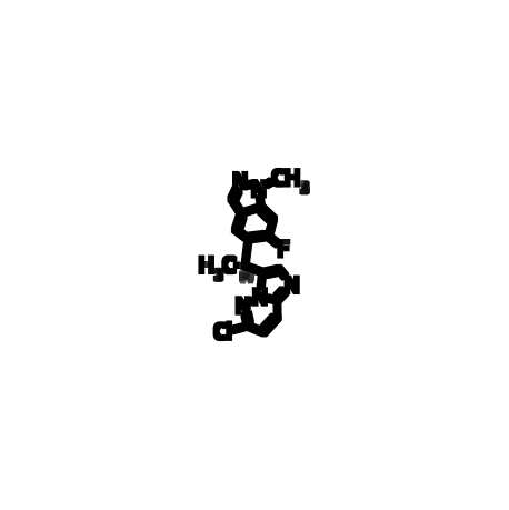 C[C@H](c1cc2cnn(C)c2cc1F)c1cnc2ccc(Cl)nn12